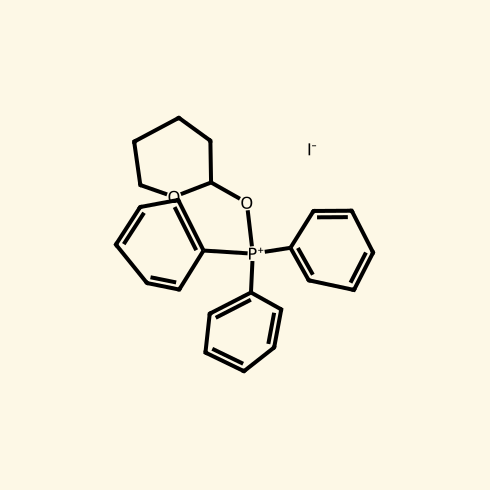 [I-].c1ccc([P+](OC2CCCCO2)(c2ccccc2)c2ccccc2)cc1